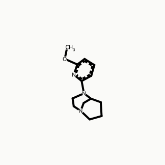 COc1cccc(N2CCN3CCCC2C3)n1